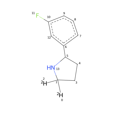 [2H]C1([2H])CCC(c2cccc(F)c2)N1